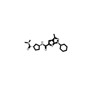 Cc1nn(C2CCCCC2)c2sc(C(=O)N[C@H]3CC[C@H](C(=O)N(C)C)C3)cc12